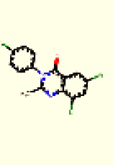 Cc1nc2c(Br)cc(Br)cc2c(=O)n1-c1ccc(Cl)cc1